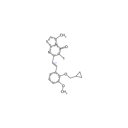 COc1cccc(/C=C/c2nc3scc(C)n3c(=O)c2I)c1OCC1CC1